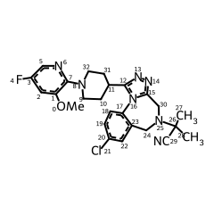 COc1cc(F)cnc1N1CCC(c2nnc3n2-c2ccc(Cl)cc2CN(C(C)(C)C#N)C3)CC1